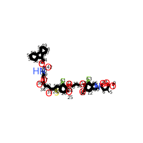 COC(=O)[C@@H](C)CC(=O)N1Cc2cc(OC)c(OCCCOc3c(OC)cc4sc(C(=O)C[C@H](C)C(=O)OCCNC(=O)OCC5c6ccccc6-c6ccccc65)cc4c3F)c(F)c2C1